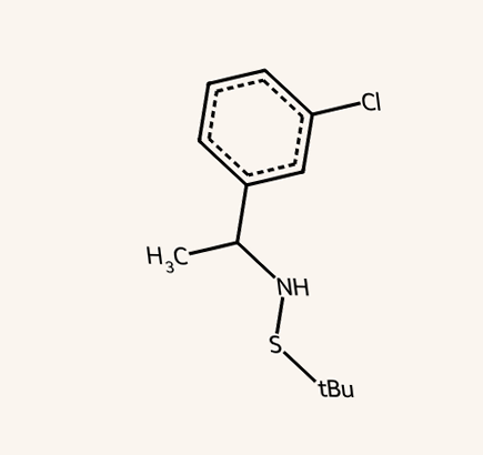 CC(NSC(C)(C)C)c1cccc(Cl)c1